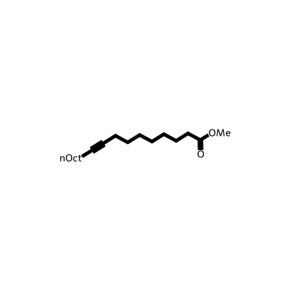 CCCCCCCCC#CCCCCCCCC(=O)OC